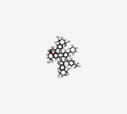 CC(C)(C)c1ccc(N2c3cc(C4CCCCC4)cc4c3B(c3cc5c(cc3N4c3cc4c(cc3-c3ccccc3)C(C)(C)CCC4(C)C)C(C)(C)CCC5(C)C)c3sc4cc5c(cc4c32)C(C)(C)CCC5(C)C)cc1